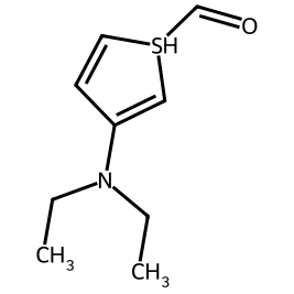 CCN(CC)C1=C[SH](C=O)C=C1